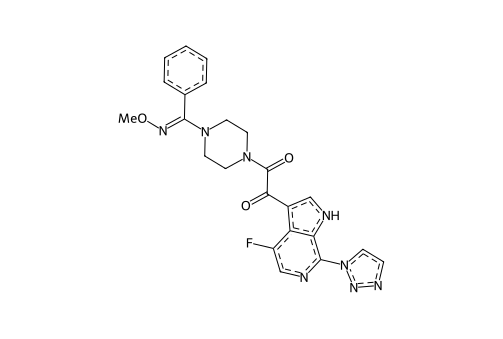 CON=C(c1ccccc1)N1CCN(C(=O)C(=O)c2c[nH]c3c(-n4ccnn4)ncc(F)c23)CC1